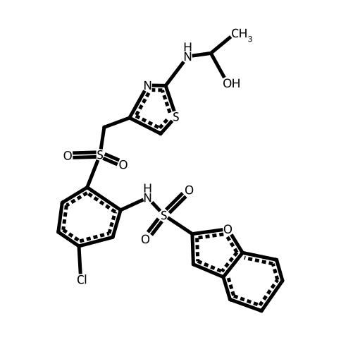 CC(O)Nc1nc(CS(=O)(=O)c2ccc(Cl)cc2NS(=O)(=O)c2cc3ccccc3o2)cs1